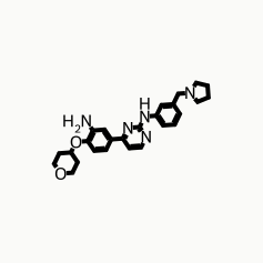 Nc1cc(-c2ccnc(Nc3cccc(CN4CCCC4)c3)n2)ccc1OC1CCOCC1